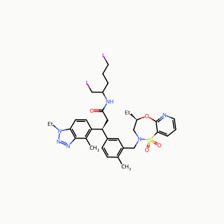 CC[C@@H]1CN(Cc2cc([C@H](CC(=O)NC(CI)CCCI)c3ccc4c(nnn4CC)c3C)ccc2C)S(=O)(=O)c2cccnc2O1